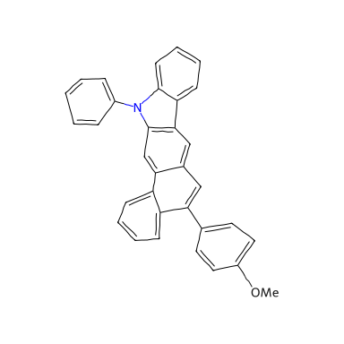 COc1ccc(-c2cc3cc4c5ccccc5n(-c5ccccc5)c4cc3c3ccccc23)cc1